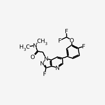 CN(C)C(=O)Cn1nc(F)c2ncc(-c3ccc(F)c(OC(F)F)c3)cc21